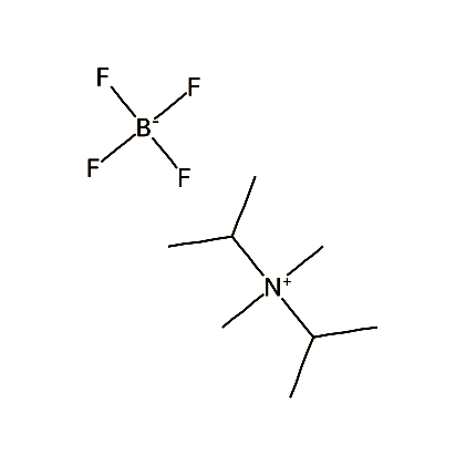 CC(C)[N+](C)(C)C(C)C.F[B-](F)(F)F